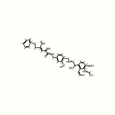 C/C=C\c1c(C(O)CNCc2ccc(CNC(=O)C(=N)/C=C(/COc3ccccc3)NC)cc2OC)ccc(O)c1NC=O